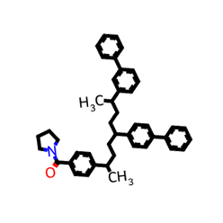 CC(CCC(CCC(C)c1cccc(-c2ccccc2)c1)c1ccc(-c2ccccc2)cc1)c1ccc(C(=O)N2CCCC2)cc1